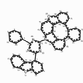 c1ccc(-c2nc(-c3cccc4oc5ccccc5c34)nc(-n3c4cccc5c6ccccc6c6cccc7oc8ccc3c(c8c76)c54)n2)cc1